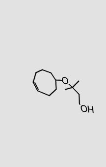 CC(C)(CCO)OC1CC/C=C\CCC1